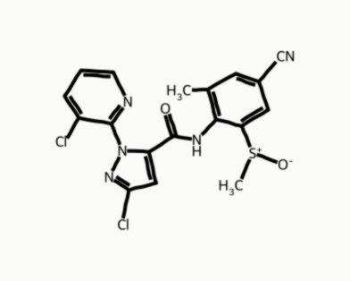 Cc1cc(C#N)cc([S+](C)[O-])c1NC(=O)c1cc(Cl)nn1-c1ncccc1Cl